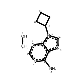 CO.Nc1ncnc2c1ncn2C1CCC1